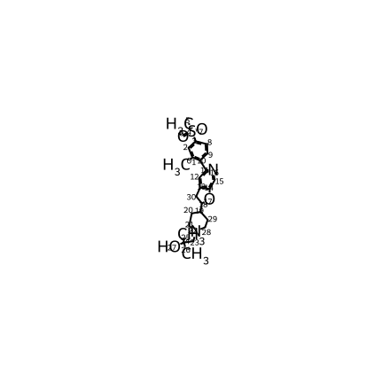 Cc1cc(S(C)(=O)=O)ccc1-c1cc2c(cn1)OC(C1CCN(CC(C)(C)O)CC1)C2